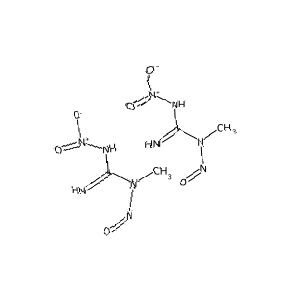 CN(N=O)C(=N)N[N+](=O)[O-].CN(N=O)C(=N)N[N+](=O)[O-]